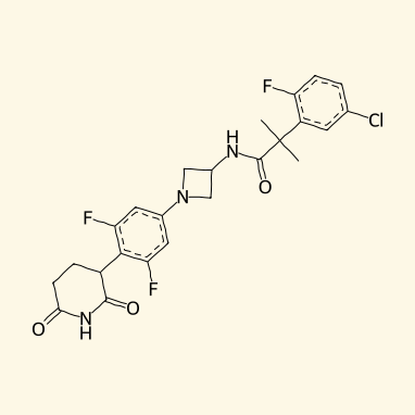 CC(C)(C(=O)NC1CN(c2cc(F)c(C3CCC(=O)NC3=O)c(F)c2)C1)c1cc(Cl)ccc1F